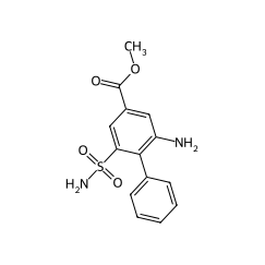 COC(=O)c1cc(N)c(-c2ccccc2)c(S(N)(=O)=O)c1